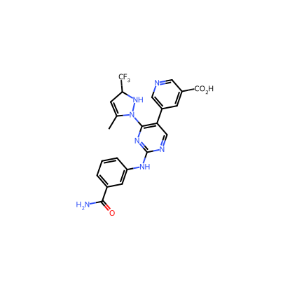 CC1=CC(C(F)(F)F)NN1c1nc(Nc2cccc(C(N)=O)c2)ncc1-c1cncc(C(=O)O)c1